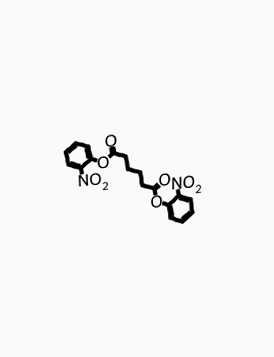 O=C(CCCCC(=O)Oc1ccccc1[N+](=O)[O-])Oc1ccccc1[N+](=O)[O-]